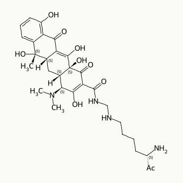 CC(=O)[C@@H](N)CCCCNCNC(=O)C1=C(O)[C@@H](N(C)C)[C@@H]2C[C@H]3C(=C(O)[C@]2(O)C1=O)C(=O)c1c(O)cccc1[C@@]3(C)O